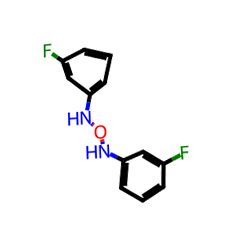 Fc1cccc(NONc2cccc(F)c2)c1